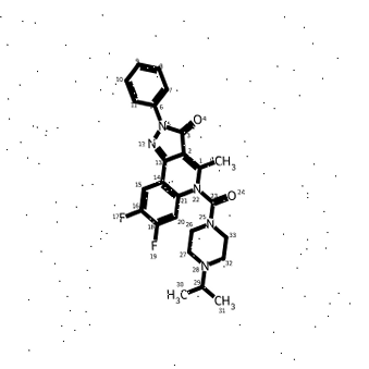 Cc1c2c(=O)n(-c3ccccc3)nc-2c2cc(F)c(F)cc2n1C(=O)N1CCN(C(C)C)CC1